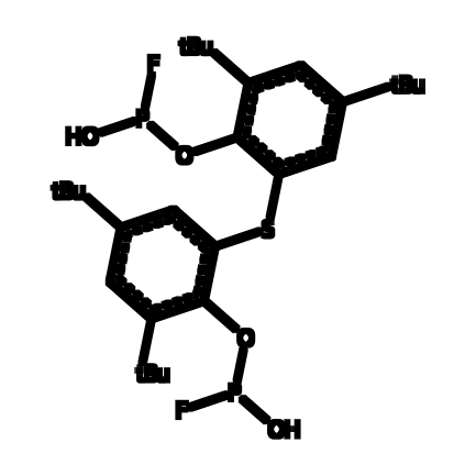 CC(C)(C)c1cc(Sc2cc(C(C)(C)C)cc(C(C)(C)C)c2OP(O)F)c(OP(O)F)c(C(C)(C)C)c1